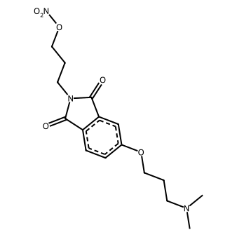 CN(C)CCCOc1ccc2c(c1)C(=O)N(CCCO[N+](=O)[O-])C2=O